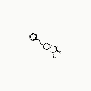 CCN1CC2(CCN(CCc3ccccc3)CC2)O[C@H](C)C1=O